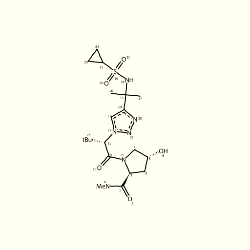 CNC(=O)[C@@H]1C[C@@H](O)CN1C(=O)[C@@H](n1cc(C(C)(C)NS(=O)(=O)C2CC2)nn1)C(C)(C)C